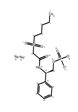 CCCCCS(=O)(=O)CC(=O)N[C@@H](COP(=O)([O-])[O-])c1ccccc1.[Na+].[Na+]